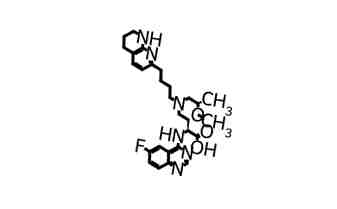 CO[C@H](C)CN(CCCCc1ccc2c(n1)NCCC2)CC[C@H](Nc1ncnc2ccc(F)cc12)C(=O)O